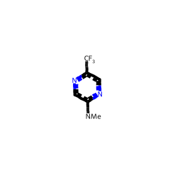 CNc1cnc(C(F)(F)F)cn1